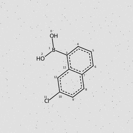 OB(O)c1cccc2ccc(Cl)cc12